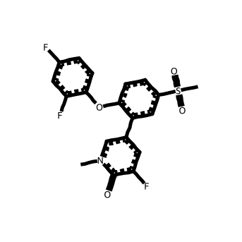 Cn1cc(-c2cc(S(C)(=O)=O)ccc2Oc2ccc(F)cc2F)cc(F)c1=O